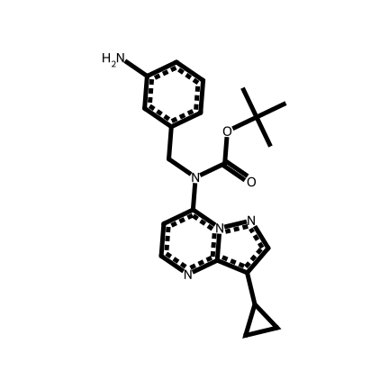 CC(C)(C)OC(=O)N(Cc1cccc(N)c1)c1ccnc2c(C3CC3)cnn12